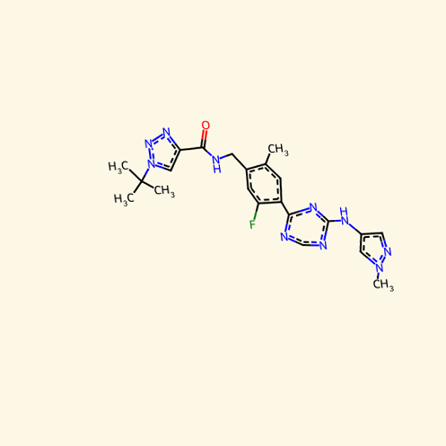 Cc1cc(-c2ncnc(Nc3cnn(C)c3)n2)c(F)cc1CNC(=O)c1cn(C(C)(C)C)nn1